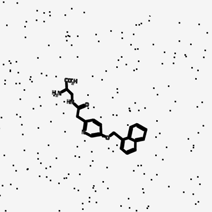 NC(CNC(=O)Cc1ccc(OCc2cccc3ccccc23)cn1)C(=O)O